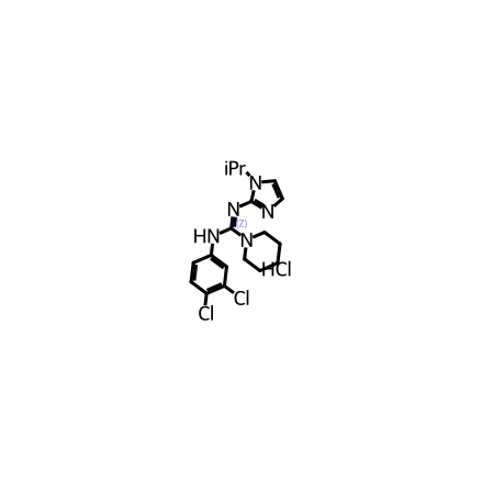 CC(C)n1ccnc1/N=C(/Nc1ccc(Cl)c(Cl)c1)N1CCCCC1.Cl